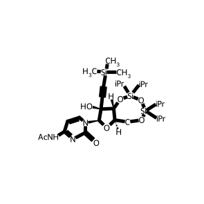 CC(=O)Nc1ccn([C@@H]2O[C@@H]3CO[Si](C(C)C)(C(C)C)O[Si](C(C)C)(C(C)C)O[C@H]3[C@@]2(O)C#C[Si](C)(C)C)c(=O)n1